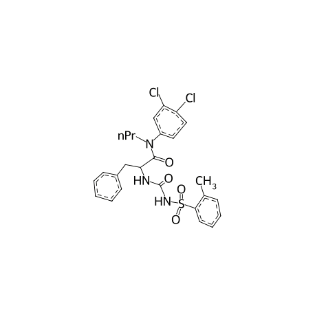 CCCN(C(=O)C(Cc1ccccc1)NC(=O)NS(=O)(=O)c1ccccc1C)c1ccc(Cl)c(Cl)c1